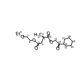 C=C(CC(=O)OCCOCC)C(=O)OCC(=O)C1CCCCC1